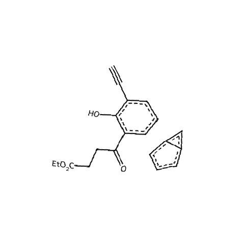 C#Cc1cccc(C(=O)CCC(=O)OCC)c1O.c1cc2cc-2c1